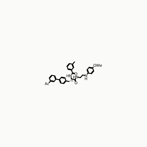 COc1ccc(NCCNC(=O)[C@H](Cc2ccc(-c3cccc(C(C)=O)c3)cc2)NC(=O)c2cccc(C)c2)cc1